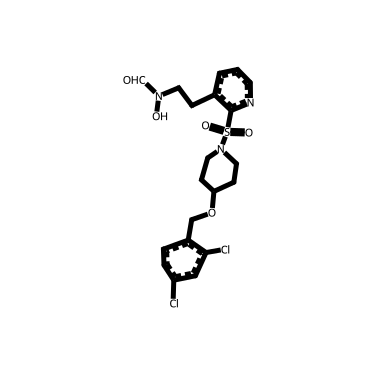 O=CN(O)CCc1cccnc1S(=O)(=O)N1CCC(OCc2ccc(Cl)cc2Cl)CC1